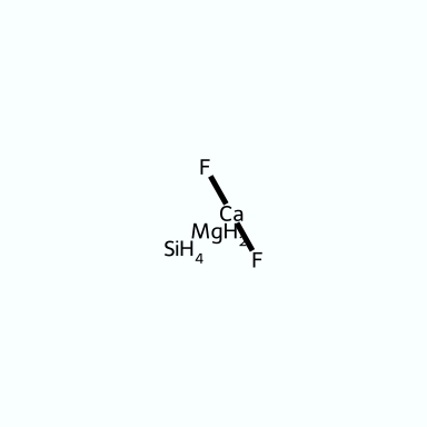 [F][Ca][F].[MgH2].[SiH4]